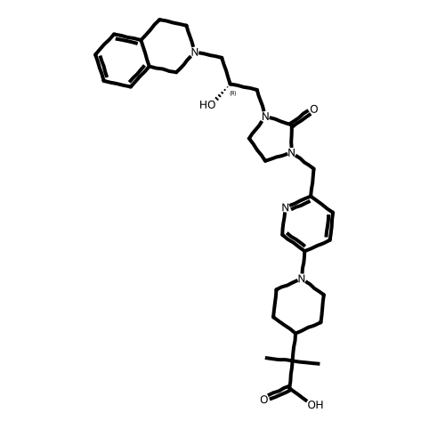 CC(C)(C(=O)O)C1CCN(c2ccc(CN3CCN(C[C@H](O)CN4CCc5ccccc5C4)C3=O)nc2)CC1